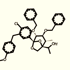 CC(O)[C@@]12CO[C@@](c3ccc(Cl)c(Cc4ccc(OC(F)(F)F)cc4)c3)(O1)[C@H](OCc1ccccc1)[C@@H](OCc1ccccc1)[C@@H]2C